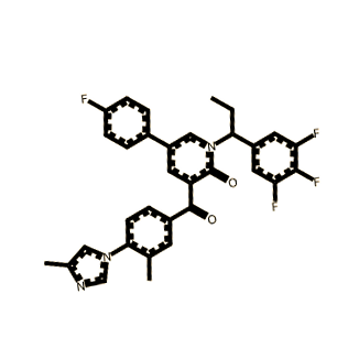 CCC(c1cc(F)c(F)c(F)c1)n1cc(-c2ccc(F)cc2)cc(C(=O)c2ccc(-n3cnc(C)c3)c(C)c2)c1=O